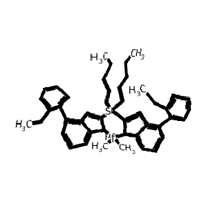 CCCCC[Si]1(CCCCC)C2=Cc3c(-c4ccccc4CC)cccc3[CH]2[Hf]([CH3])([CH3])[CH]2C1=Cc1c(-c3ccccc3CC)cccc12